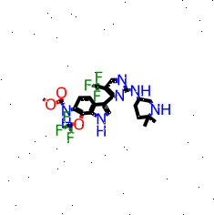 COC(=O)Nc1ccc2c(-c3nc(NC4CCC(C)(C)NC4)ncc3C(F)(F)F)c[nH]c2c1OC(F)(F)F